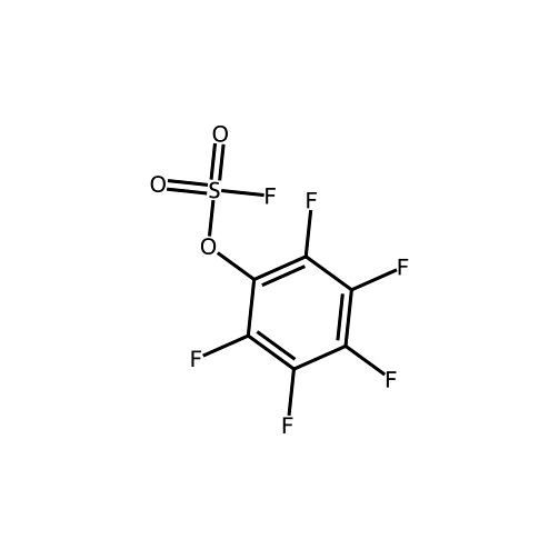 O=S(=O)(F)Oc1c(F)c(F)c(F)c(F)c1F